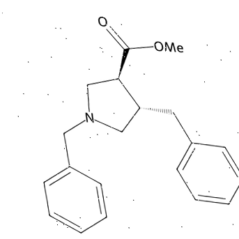 COC(=O)[C@@H]1CN(Cc2ccccc2)C[C@H]1Cc1ccccc1